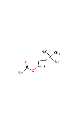 CC(C)(C)C(=O)OC1CC(C(C)(C)C(C)(C)C)C1